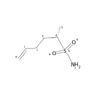 C=CCC[C@H](C)S(N)(=O)=O